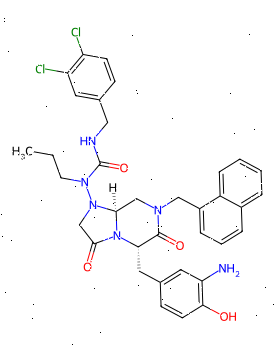 CCCN(C(=O)NCc1ccc(Cl)c(Cl)c1)N1CC(=O)N2[C@@H](Cc3ccc(O)c(N)c3)C(=O)N(Cc3cccc4ccccc34)C[C@@H]21